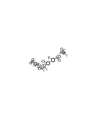 COC(C)(COc1ccc(-c2ccc(N3C[C@H](CNC(C)=O)OC3=O)cc2F)cc1Cl)Cn1cnc([N+](=O)[O-])c1